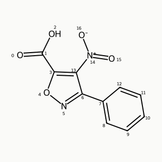 O=C(O)c1onc(-c2ccccc2)c1[N+](=O)[O-]